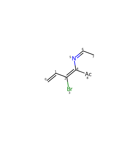 C=C/C(Br)=C(\N=C/C)C(C)=O